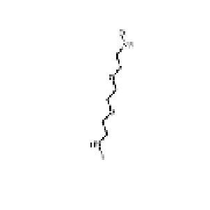 CCNCCOCCOCCNI